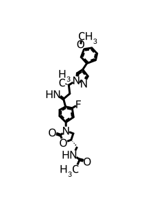 COc1cccc(-c2cnn([C@@H](C)CC(=N)c3ccc(N4C[C@H](CNC(C)=O)OC4=O)cc3F)c2)c1